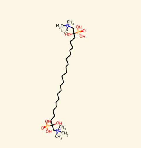 C[N+](C)(C)CC(O)(CCCCCCCCCCCCCCCCCCCCC(O)(C[N+](C)(C)C)P(=O)(O)O)P(=O)(O)O